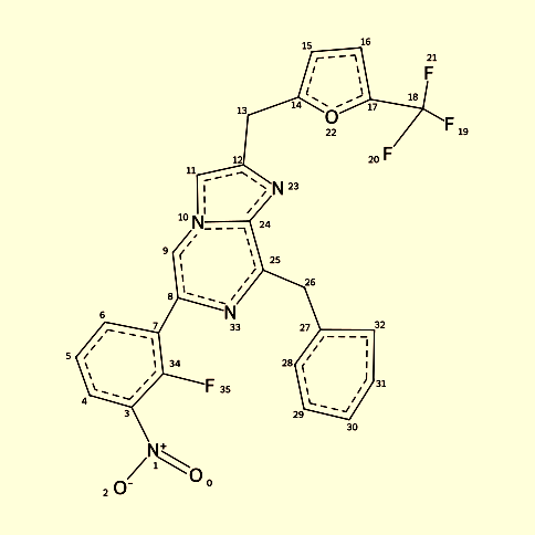 O=[N+]([O-])c1cccc(-c2cn3cc(Cc4ccc(C(F)(F)F)o4)nc3c(Cc3ccccc3)n2)c1F